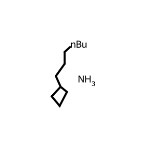 CCCCCCCC1CCC1.N